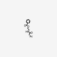 CC(=O)CC(=O)NCCOC(=O)c1ccccc1